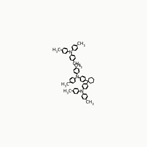 Cc1ccc(N(c2ccc(C)cc2)c2ccc(C)cc2)cc1.Cc1ccc(N(c2ccc(C)cc2)c2ccc(C3(c4ccc(N(c5ccc(C)cc5)c5ccc(C)cc5)cc4)CCCCC3)cc2)cc1